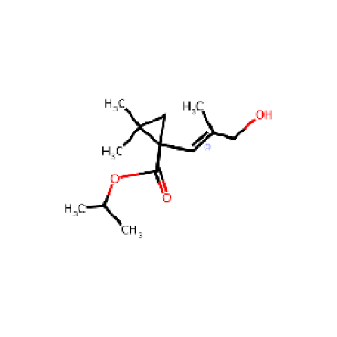 C/C(=C\C1(C(=O)OC(C)C)CC1(C)C)CO